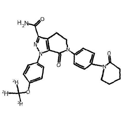 [2H]C([2H])([2H])Oc1ccc(-n2nc(C(N)=O)c3c2C(=O)N(c2ccc(N4CCCCC4=O)cc2)CC3)cc1